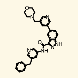 O=C(Nc1cncc(Cc2ccccc2)c1)c1n[nH]c2ccc(-c3cncc(CN4CCOCC4)c3)cc12